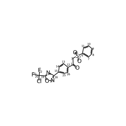 O=C(CS(=O)(=O)c1ccccc1)c1ccc(-c2noc(C(F)(F)Cl)n2)cc1